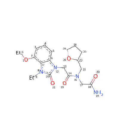 CCOc1cccc2c1n(CC)c(=O)n2CC(=O)N(CC(N)=O)CC1CCCO1